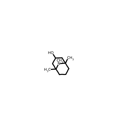 CN1C2(C)CCCC1(C)CC(O)C2